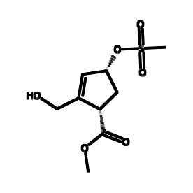 COC(=O)[C@H]1C[C@@H](OS(C)(=O)=O)C=C1CO